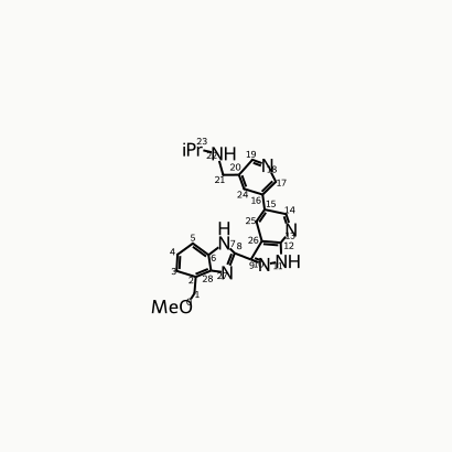 COCc1cccc2[nH]c(-c3n[nH]c4ncc(-c5cncc(CNC(C)C)c5)cc34)nc12